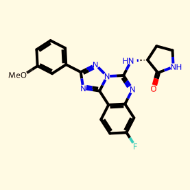 COc1cccc(-c2nc3c4ccc(F)cc4nc(N[C@@H]4CCNC4=O)n3n2)c1